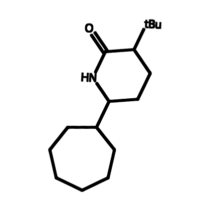 CC(C)(C)C1CCC(C2CCCCCC2)NC1=O